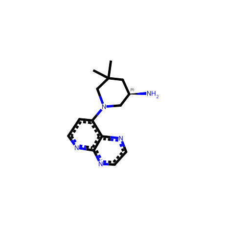 CC1(C)C[C@@H](N)CN(c2ccnc3nccnc23)C1